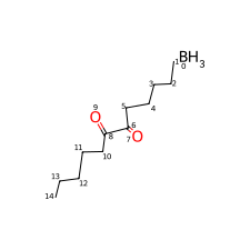 B.CCCCCC(=O)C(=O)CCCCC